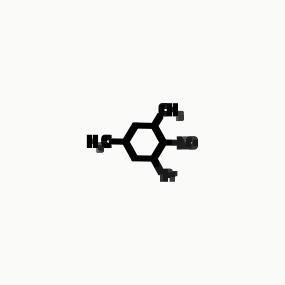 CC1CC(C)C(N=O)C(C(C)C)C1